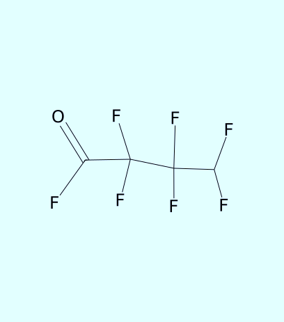 O=C(F)C(F)(F)C(F)(F)C(F)F